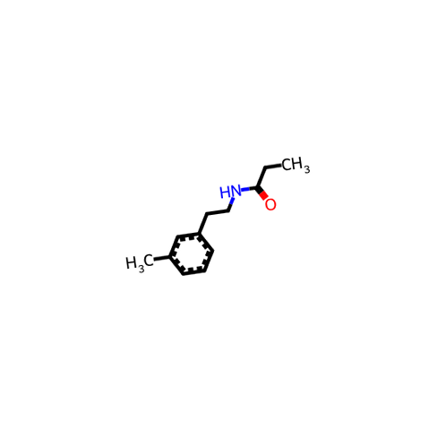 CCC(=O)NCCc1cccc(C)c1